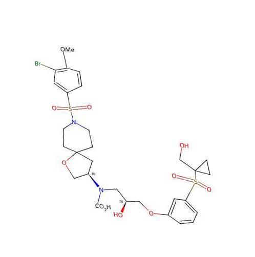 COc1ccc(S(=O)(=O)N2CCC3(CC2)C[C@@H](N(C[C@H](O)COc2cccc(S(=O)(=O)C4(CO)CC4)c2)C(=O)O)CO3)cc1Br